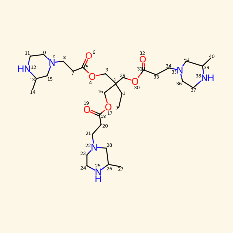 CCC(COC(=O)CCN1CCNC(C)C1)(COC(=O)CCN1CCNC(C)C1)COC(=O)CCN1CCNC(C)C1